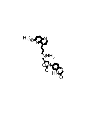 COc1ccc2nccc(CCCN(N)C[C@H]3CN(c4ccc5c(c4)NC(=O)CS5)C(=O)O3)c2n1